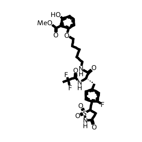 COC(=O)c1c(O)cccc1OCCCCCNC(=O)[C@H](Cc1ccc(C2CC(=O)NS2(=O)=O)c(F)c1)NC(=O)C(C)(F)F